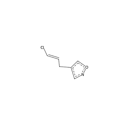 ClC=CCc1cnoc1